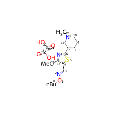 CCCCON=Cc1sc(C2=CCCN(C)C2)nc1OC.O=C(O)C(=O)O